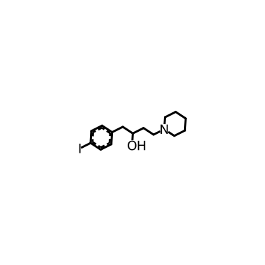 OC(CCN1CCCCC1)Cc1ccc(I)cc1